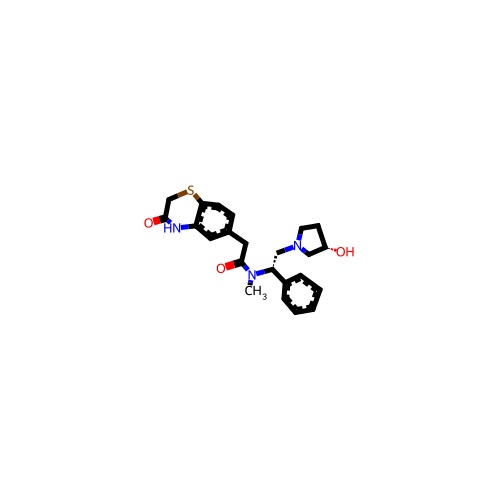 CN(C(=O)Cc1ccc2c(c1)NC(=O)CS2)[C@H](CN1CC[C@H](O)C1)c1ccccc1